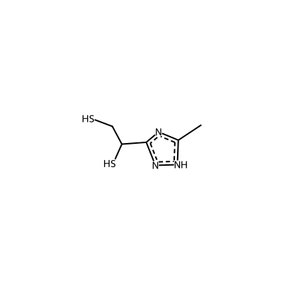 Cc1nc(C(S)CS)n[nH]1